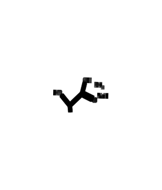 B.CC(O)C(=O)O.[NaH]